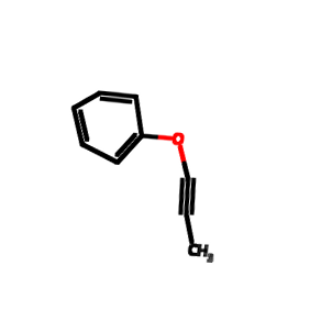 CC#COc1ccccc1